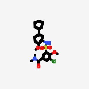 COc1ccc(-c2ccccc2)cc1NS(=O)(=O)c1cc(C(=O)N(C)C)cc(Cl)c1OC